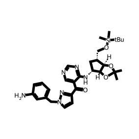 CC1(C)O[C@@H]2[C@@H](CO[Si](C)(C)C(C)(C)C)C[C@@H](Nc3ncncc3C(=O)c3ccn(Cc4cccc(N)c4)n3)[C@@H]2O1